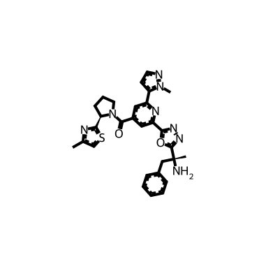 Cc1csc([C@H]2CCCN2C(=O)c2cc(-c3nnc([C@](C)(N)Cc4ccccc4)o3)nc(-c3ccnn3C)c2)n1